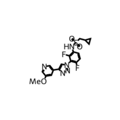 COc1cncc(-c2cn(-c3c(F)ccc(NS(=O)(=O)CC4CC4)c3F)nn2)c1